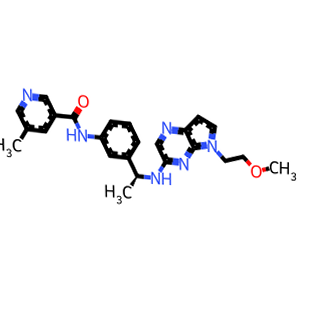 COCCn1ccc2ncc(N[C@@H](C)c3cccc(NC(=O)c4cncc(C)c4)c3)nc21